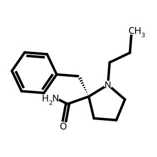 CCCN1CCC[C@@]1(Cc1ccccc1)C(N)=O